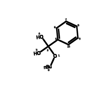 CCCCOC(O)(O)c1ccccc1